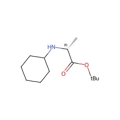 C[C@@H](NC1CCCCC1)C(=O)OC(C)(C)C